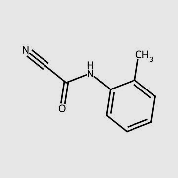 Cc1ccccc1NC(=O)C#N